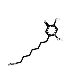 CCCCCCCCCCCCCCCCc1cc(=O)c(O)cn1C